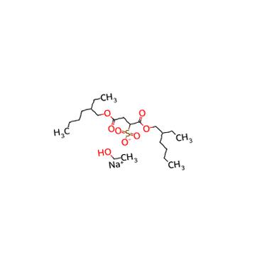 CCCCC(CC)COC(=O)CC(C(=O)OCC(CC)CCCC)S(=O)(=O)[O-].CCO.[Na+]